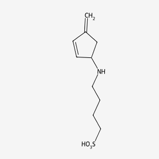 C=C1C=CC(NCCCCS(=O)(=O)O)C1